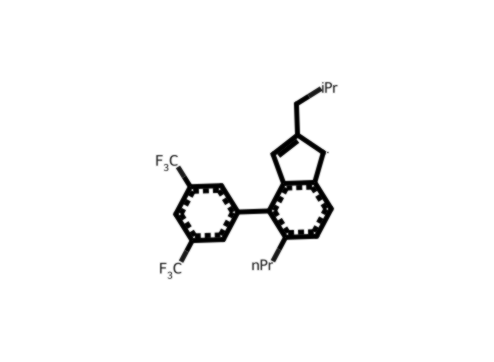 CCCc1ccc2c(c1-c1cc(C(F)(F)F)cc(C(F)(F)F)c1)C=C(CC(C)C)[CH]2